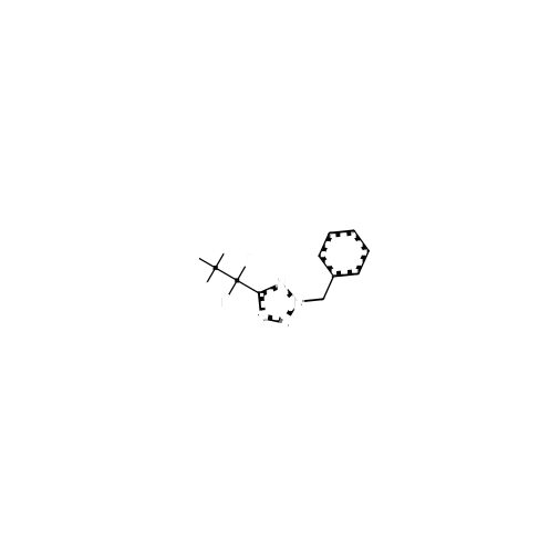 FC(F)(F)C(F)(F)c1nnn(Cc2ccccc2)n1